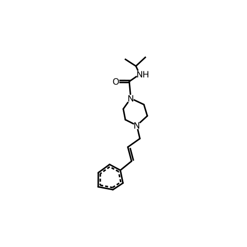 CC(C)NC(=O)N1CCN(CC=Cc2ccccc2)CC1